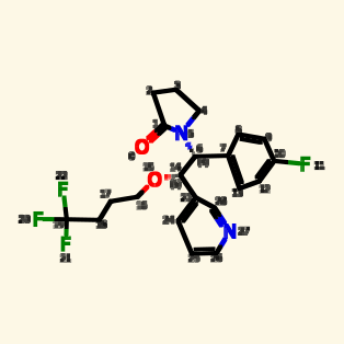 O=C1CCCN1[C@H](c1ccc(F)cc1)[C@@H](OCCCC(F)(F)F)c1cccnc1